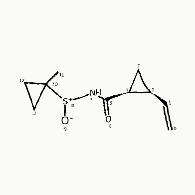 C=C[C@@H]1C[C@@H]1C(=O)N[S+]([O-])C1(C)CC1